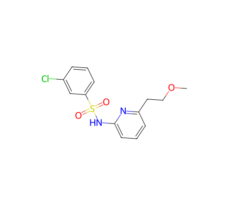 COCCc1cccc(NS(=O)(=O)c2cccc(Cl)c2)n1